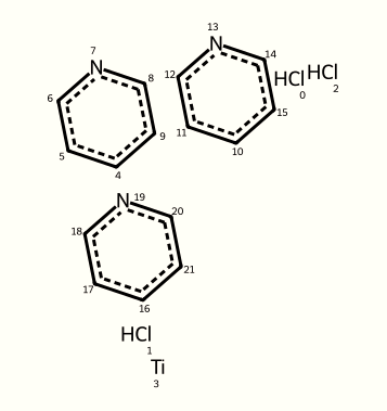 Cl.Cl.Cl.[Ti].c1ccncc1.c1ccncc1.c1ccncc1